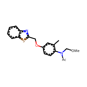 COCN(C(C)=O)c1ccc(OCc2nc3ccccc3s2)cc1C